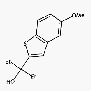 CCC(O)(CC)c1cc2cc(OC)ccc2s1